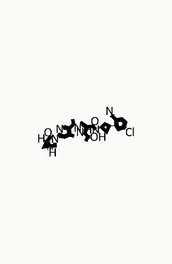 Cc1cc(N2C[C@H]3C[C@H]3C2=O)ncc1C(C)n1cc(C(=O)N[C@H]2C[C@@H](c3cc(Cl)ccc3C#N)C2)c(C(C)O)n1